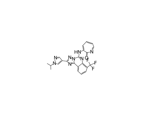 CC(C)n1cc(-c2nc3c4cccc(C(F)(F)F)c4nc(Nc4ccccnc4=O)n3n2)cn1